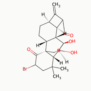 C=C1C2C(=O)[C@]34[C@H]2[C@H]1CC[C@H]3[C@@]12CO[C@]4(O)[C@@H](O)[C@@H]1C(C)(C)CC(Br)C2=O